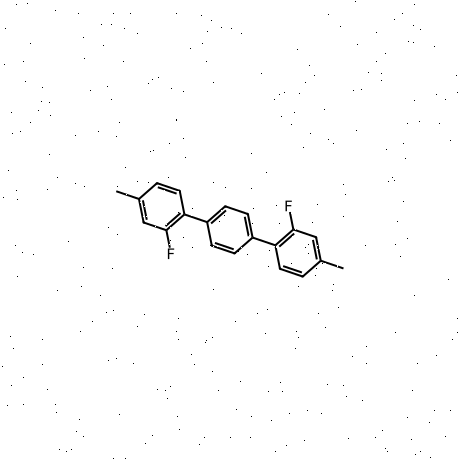 Cc1ccc(-c2ccc(-c3ccc(C)cc3F)cc2)c(F)c1